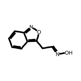 ON=CCc1onc2ccccc12